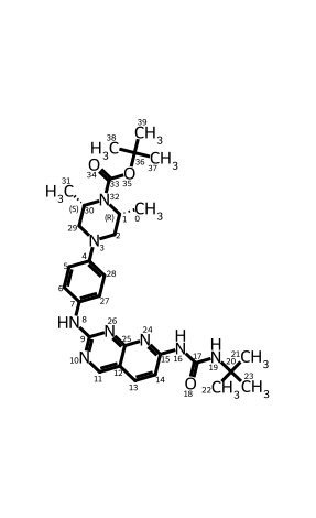 C[C@@H]1CN(c2ccc(Nc3ncc4ccc(NC(=O)NC(C)(C)C)nc4n3)cc2)C[C@H](C)N1C(=O)OC(C)(C)C